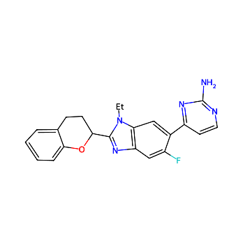 CCn1c(C2CCc3ccccc3O2)nc2cc(F)c(-c3ccnc(N)n3)cc21